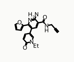 C#CCNC(=O)c1cc(-c2ccc(=O)n(CC)c2)c(-c2ccco2)nc1N